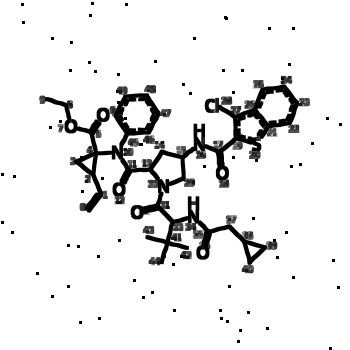 C=CC1CC1(C(=O)OCC)N(C(=O)C1CC(NC(=O)c2sc3ccccc3c2Cl)CN1C(=O)C(NC(=O)CC1CC1)C(C)(C)C)c1ccccc1